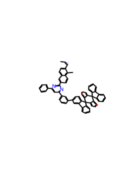 C/C=C\c1ccc2cc(-c3nc(-c4ccccc4)cc(-c4cccc(-c5ccc6c(c5)-c5ccccc5C65c6ccccc6C6(c7ccccc7-c7ccccc76)c6ccccc65)c4)n3)ccc2c1C